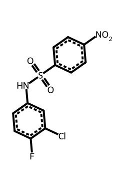 O=[N+]([O-])c1ccc(S(=O)(=O)Nc2ccc(F)c(Cl)c2)cc1